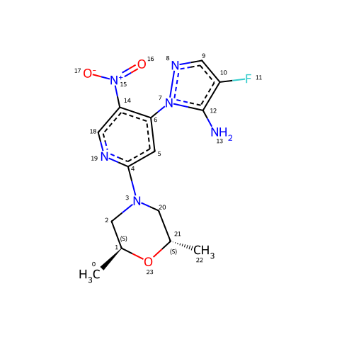 C[C@H]1CN(c2cc(-n3ncc(F)c3N)c([N+](=O)[O-])cn2)C[C@H](C)O1